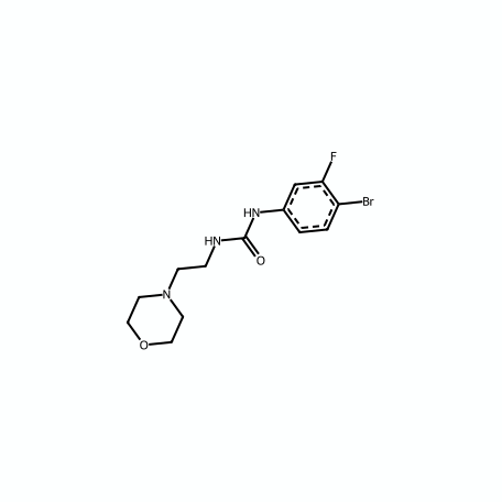 O=C(NCCN1CCOCC1)Nc1ccc(Br)c(F)c1